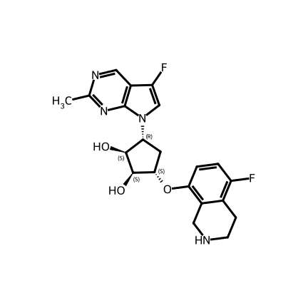 Cc1ncc2c(F)cn([C@@H]3C[C@H](Oc4ccc(F)c5c4CNCC5)[C@@H](O)[C@H]3O)c2n1